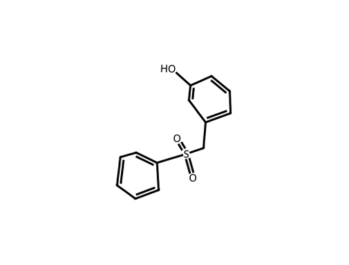 O=S(=O)(Cc1cccc(O)c1)c1ccccc1